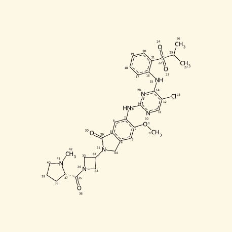 COc1cc2c(cc1Nc1ncc(Cl)c(Nc3ccccc3S(=O)(=O)C(C)C)n1)C(=O)N(C1CN(C(=O)[C@@H]3CCCN3C)C1)C2